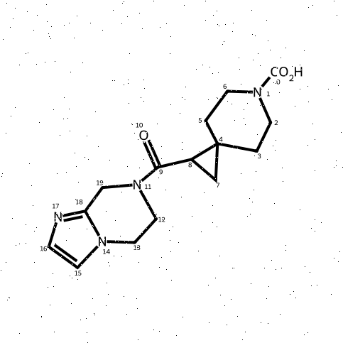 O=C(O)N1CCC2(CC1)CC2C(=O)N1CCn2ccnc2C1